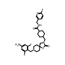 Nc1cc(F)c(CN2CCC3(CC2)CN(CC2CCC(C(=O)NCc4ccc(F)nc4)CC2)C(=O)O3)c(F)c1